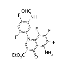 CCOC(=O)c1cn(-c2cc(NC=O)c(F)cc2F)c2c(F)c(F)c(F)c(N)c2c1=O